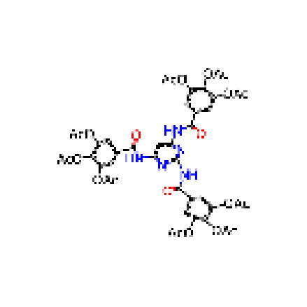 CC(=O)Oc1cc(C(=O)Nc2cc(NC(=O)c3cc(OC(C)=O)c(OC(C)=O)c(OC(C)=O)c3)nc(NC(=O)c3cc(OC(C)=O)c(OC(C)=O)c(OC(C)=O)c3)n2)cc(OC(C)=O)c1OC(C)=O